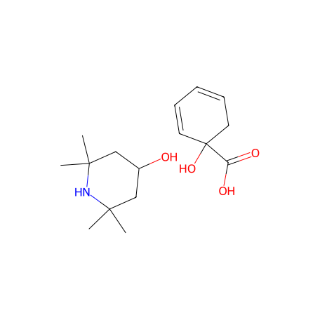 CC1(C)CC(O)CC(C)(C)N1.O=C(O)C1(O)C=CC=CC1